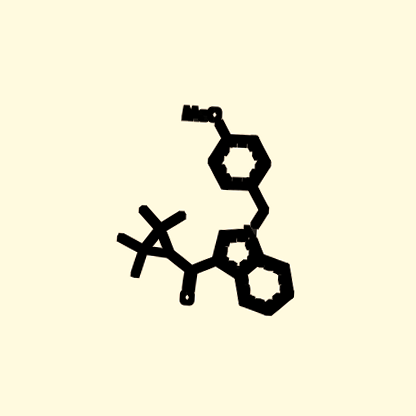 COc1ccc(Cn2cc(C(=O)C3C(C)(C)C3(C)C)c3ccccc32)cc1